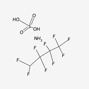 FC(F)C(F)(F)C(F)(F)C(F)(F)F.N.O=S(=O)(O)O